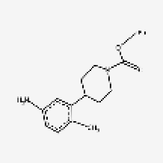 Cc1ccc(N)cc1C1CCN(C(=O)OC(C)(C)C)CC1